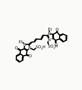 CCN1C(=CC=CC=Cc2n(CC)c3c([n+]2CS(=O)(=O)O)C(=O)c2ccccc2C3=O)N(CS(=O)(=O)O)C2=C1C(=O)c1ccccc1C2=O